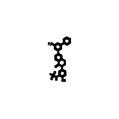 CS(=O)(=O)Nc1cc(N2CCc3cc(-c4cc(-c5ccncc5)cc(C(F)(F)F)c4)ccc3C2=O)ccc1O